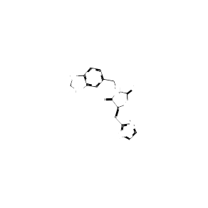 O=C1/C(=C/c2nccs2)SC(=S)N1Cc1ccc2c(c1)OCO2